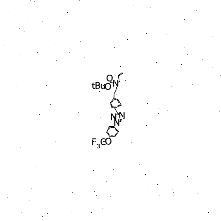 C=CCN(CCc1ccc(-c2ncn(-c3ccc(OC(F)(F)F)cc3)n2)cc1)C(=O)OC(C)(C)C